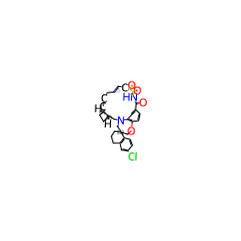 O=C1NS(=O)(=O)C/C=C/CCC[C@@H]2CC[C@H]2CN2C[C@@]3(CCCc4cc(Cl)ccc43)COc3ccc1cc32